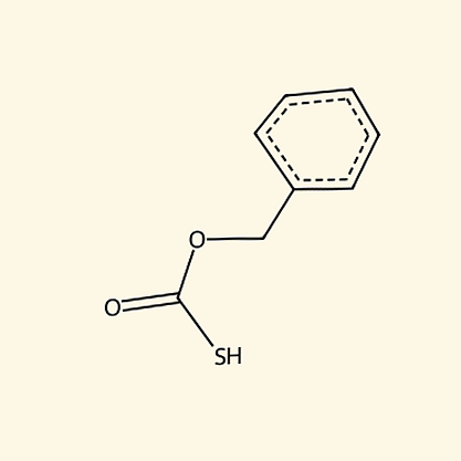 O=C(S)OCc1ccccc1